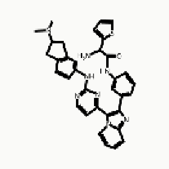 CN(C)C1Cc2ccc(Nc3nccc(-c4c(-c5cccc(NC(=O)C(N)c6cccs6)c5)nc5ccccn45)n3)cc2C1